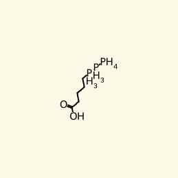 O=C(O)CCCC[PH3][PH3][PH4]